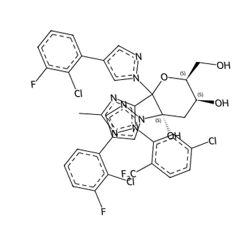 Cc1nc(C2(n3cc(-c4cccc(F)c4Cl)cn3)O[C@@H](CO)[C@@H](O)C[C@@]2(O)n2cc(-c3cccc(F)c3Cl)cn2)n(-c2cc(Cl)ccc2C(F)(F)F)n1